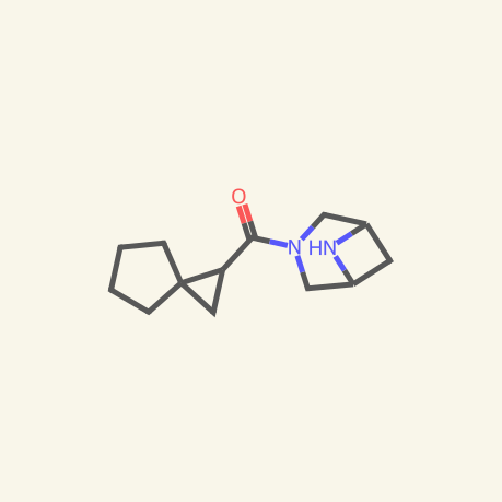 O=C(C1CC12CCCC2)N1CC2CC(C1)N2